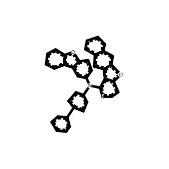 c1ccc(-c2ccc(N(c3ccc4oc5ccccc5c4c3)c3nccc4oc5cc6ccccc6cc5c34)cc2)cc1